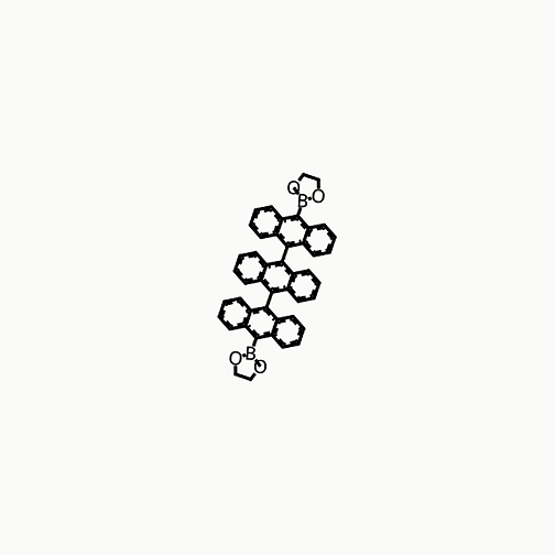 c1ccc2c(-c3c4ccccc4c(-c4c5ccccc5c(B5OCCO5)c5ccccc45)c4ccccc34)c3ccccc3c(B3OCCO3)c2c1